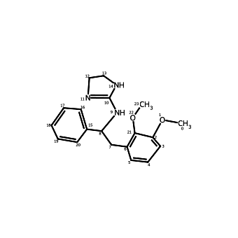 COc1cccc(CC(NC2=NCCN2)c2ccccc2)c1OC